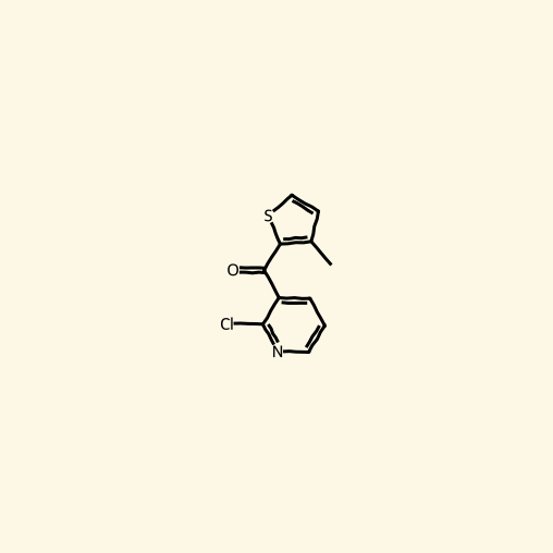 Cc1ccsc1C(=O)c1cccnc1Cl